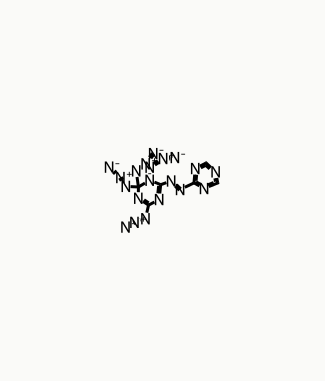 [N-]=[N+]=NC1=NC(N=[N+]=[N-])(N=[N+]=[N-])N(N=[N+]=[N-])C(N=Nc2ncncn2)=N1